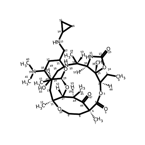 CC[C@H]1OC(=O)[C@@]2(C)CCO[C@@](C)(C[C@@H](C)CN[C@H](C)[C@H]3NC(=O)O[C@@]31C)[C@H](O[C@@H]1OC(CNC3CC3)CC(N(C)C)C1O)[C@@H](C)C2=O